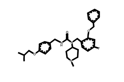 CC(C)COc1ccc(CNC(=O)N(Cc2ccc(F)cc2OCc2ccccc2)C2CCN(C)CC2)cc1